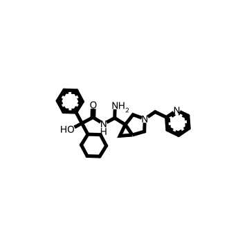 NC(NC(=O)C(O)(c1ccccc1)C1CCCCC1)C12CC1CN(Cc1ccccn1)C2